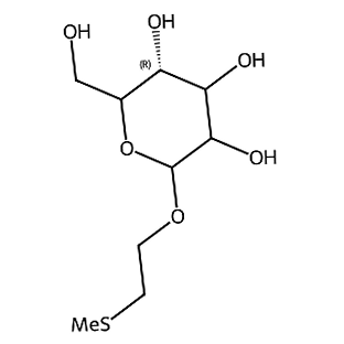 CSCCOC1OC(CO)[C@H](O)C(O)C1O